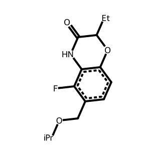 CCC1Oc2ccc(COC(C)C)c(F)c2NC1=O